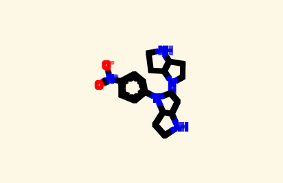 C1CC2NCCC2N1.O=[N+]([O-])c1ccc(N2CCC3NCCC32)cc1